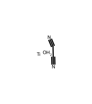 N#CC#N.O.[Ti]